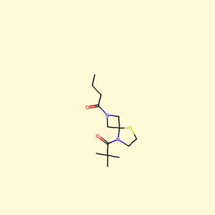 CCCC(=O)N1CC2(C1)SCCN2C(=O)C(C)(C)C